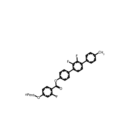 CCCCCOc1ccc(C(=O)Oc2ccc(-c3ccc(-c4ccc(C)cc4)c(F)c3F)cc2)c(F)c1